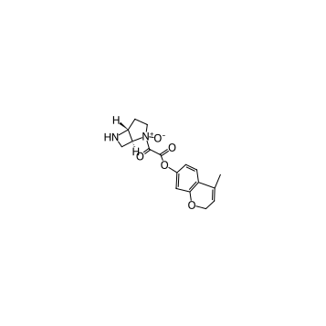 CC1=CCOc2cc(OC(=O)C(=O)[N+]3([O-])CC[C@H]4NC[C@@H]43)ccc21